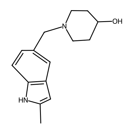 Cc1cc2cc(CN3CCC(O)CC3)ccc2[nH]1